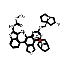 CN1CC2CCC(C1)N2c1nc(OC[C@@]23CCCN2C[C@H](F)C3)nc2c(F)c(-c3cccc4sc(NC(=O)OC(C)(C)C)c(C#N)c34)c3c(c12)COC3